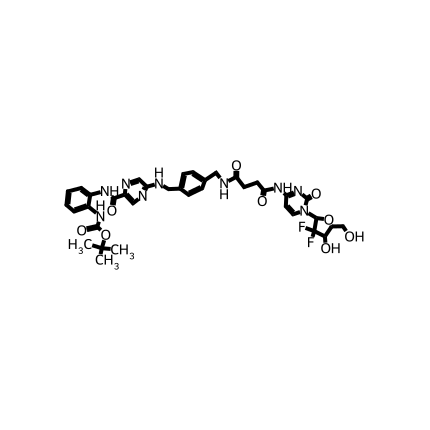 CC(C)(C)OC(=O)Nc1ccccc1NC(=O)c1cnc(NCc2ccc(CNC(=O)CCC(=O)Nc3ccn(C4OC(CO)C(O)C4(F)F)c(=O)n3)cc2)cn1